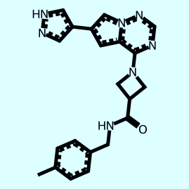 Cc1ccc(CNC(=O)C2CN(c3ncnn4cc(-c5cn[nH]c5)cc34)C2)cc1